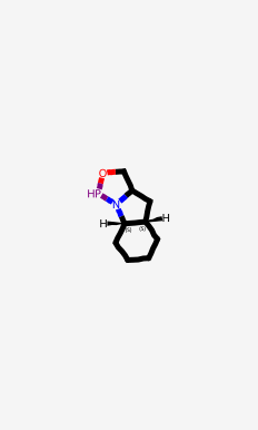 C1CC[C@H]2[C@@H](C1)CC1COPN12